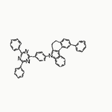 c1ccc(-c2ccc3c(c2)-c2c(n(-c4ccc(-c5nc(-c6ccccc6)nc(-c6ccccc6)n5)cc4)c4ccccc24)CC3)cc1